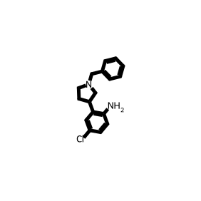 Nc1ccc(Cl)cc1C1CCN(Cc2ccccc2)C1